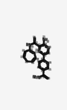 C=C(NC)c1ccc(-c2cnc(N)c(C(=C)NC3=CC=CCC=C3)n2)cc1